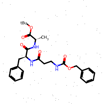 C[C@H](NC(=O)[C@H](Cc1ccccc1)NC(=O)CCNC(=O)OCc1ccccc1)C(=O)OC(C)(C)C